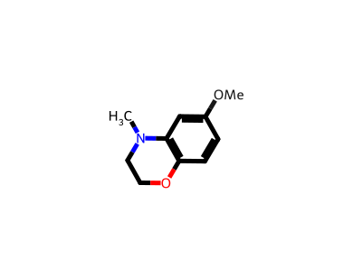 COc1ccc2c(c1)N(C)CCO2